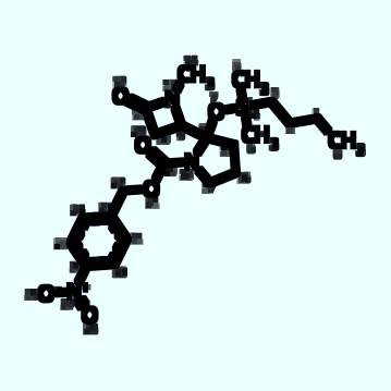 CCCC[Si](C)(C)OC1(C2CC(=O)N2C)CCCN1C(=O)OCc1ccc([N+](=O)[O-])cc1